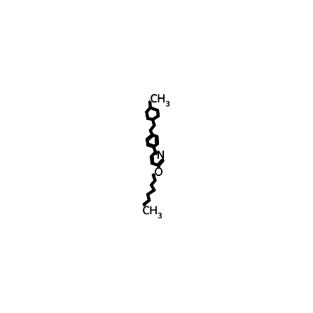 CCCCCCCCOc1ccc(-c2ccc(CCC3CCC(CC)CC3)cc2)nc1